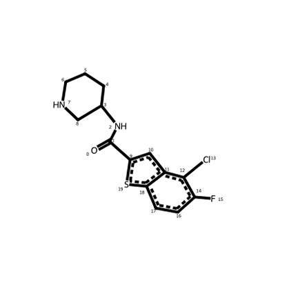 O=C(NC1CCCNC1)c1cc2c(Cl)c(F)ccc2s1